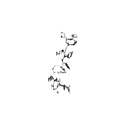 Cc1cnc(N[C@H]2CC[C@@H](N(C)CC(=O)Nc3ccc(Cl)c(Cl)c3)CC2)nc1N(C)C